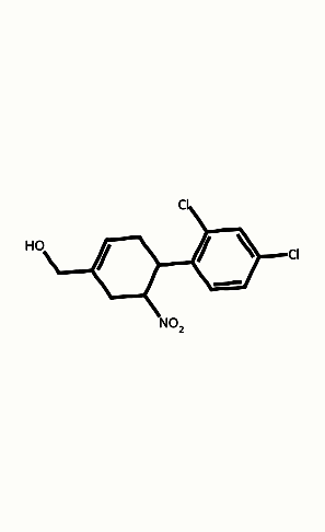 O=[N+]([O-])C1CC(CO)=CCC1c1ccc(Cl)cc1Cl